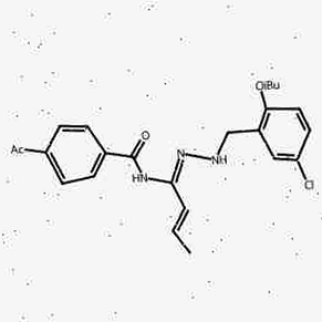 C/C=C/C(=N\NCc1cc(Cl)ccc1OCC(C)C)NC(=O)c1ccc(C(C)=O)cc1